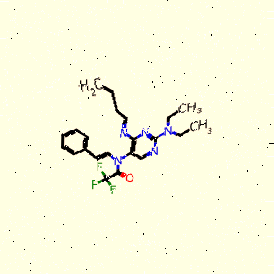 [CH2]CCC=Nc1nc(N(CC)CC)ncc1N(C=Cc1ccccc1)C(=O)C(F)(F)F